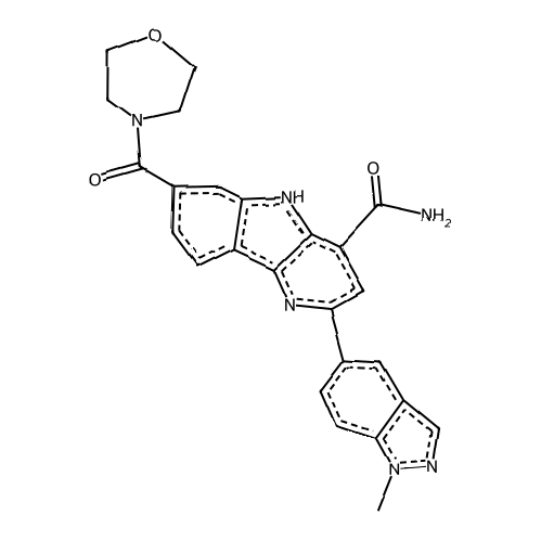 Cn1ncc2cc(-c3cc(C(N)=O)c4[nH]c5cc(C(=O)N6CCOCC6)ccc5c4n3)ccc21